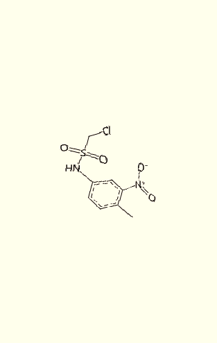 Cc1ccc(NS(=O)(=O)CCl)cc1[N+](=O)[O-]